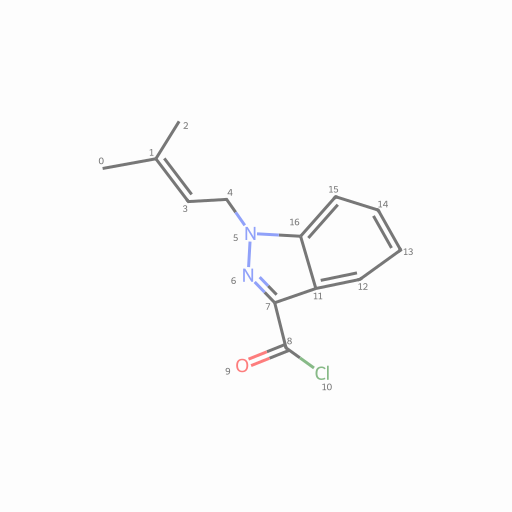 CC(C)=CCn1nc(C(=O)Cl)c2ccccc21